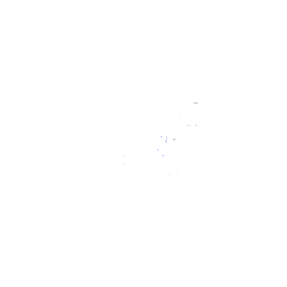 O=C(O)c1ccc(-n2nc(-c3ccccc3)cc2O)cc1